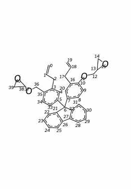 C=CCc1cc(C2(c3ccc(OCC4CO4)c(CC=C)c3)c3ccccc3-c3ccccc32)ccc1COC1CO1